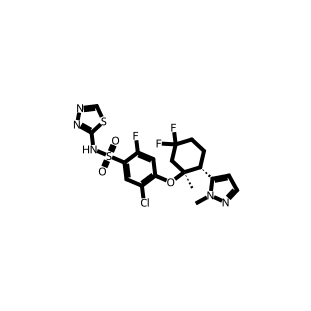 Cn1nccc1[C@H]1CCC(F)(F)C[C@]1(C)Oc1cc(F)c(S(=O)(=O)Nc2nncs2)cc1Cl